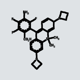 C[Si]1(C)C2=CC(N3CCC3)C=CC2=C(c2c(F)c(N)c(F)c(F)c2C(=O)O)c2ccc(N3CCC3)cc21